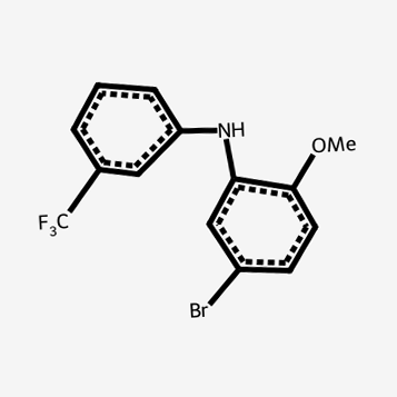 COc1ccc(Br)cc1Nc1cccc(C(F)(F)F)c1